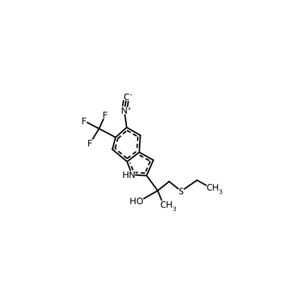 [C-]#[N+]c1cc2cc(C(C)(O)CSCC)[nH]c2cc1C(F)(F)F